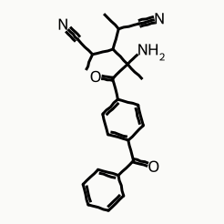 CC(C#N)C(C(C)C#N)C(C)(N)C(=O)c1ccc(C(=O)c2ccccc2)cc1